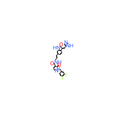 O=C1Nc2cc(/C=C/CNC(=O)c3ccnn(Cc4ccc(F)c(F)c4)c3=O)ccc2/C1=C/c1cnc[nH]1